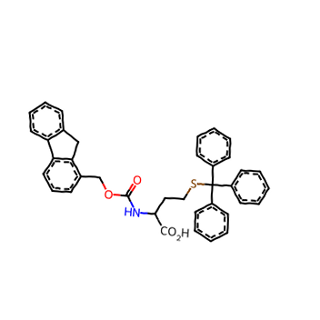 O=C(NC(CCSC(c1ccccc1)(c1ccccc1)c1ccccc1)C(=O)O)OCc1cccc2c1Cc1ccccc1-2